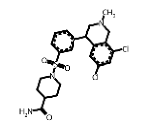 CN1Cc2c(Cl)cc(Cl)cc2C(c2cccc(S(=O)(=O)N3CCC(C(N)=O)CC3)c2)C1